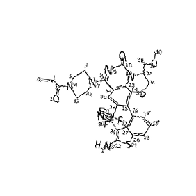 C=CC(=O)N1CCN(c2nc(=O)n3c4c(c(-c5cccc6sc(N)c(C#N)c56)c(C(F)(F)F)cc24)SCC3COC)CC1